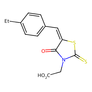 CCc1ccc(C=C2SC(=S)N(CC(=O)O)C2=O)cc1